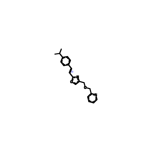 CC(C)c1ccc(/C=C/c2nc(COCc3ccccn3)co2)cc1